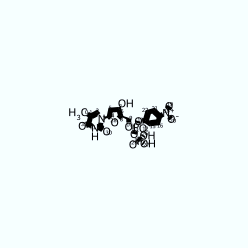 Cc1cn([C@H]2C[C@H](O)[C@@H](COP(=O)(Oc3ccc([N+](=O)[O-])cc3)OP(=O)(O)O)O2)c(=O)[nH]c1=O